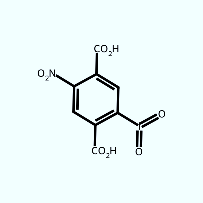 O=C(O)c1cc(I(=O)=O)c(C(=O)O)cc1[N+](=O)[O-]